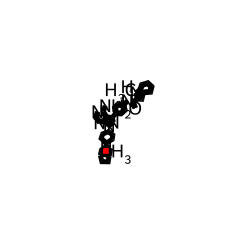 CN1C2CCC1CN([C@H]1CC[C@H](n3nc(-c4ccc(NC(=O)c5cc6ccccc6n5C)cc4)c4c(N)ncnc43)CC1)C2